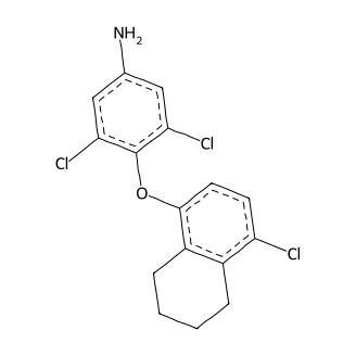 Nc1cc(Cl)c(Oc2ccc(Cl)c3c2CCCC3)c(Cl)c1